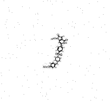 CCCN1C(=O)C(C)c2c1cc(-c1ccc(S(=O)(=O)N3CCN(Cc4ccc(OC)cc4)CC3)cc1)[nH]c2=O